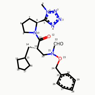 Cn1nnnc1[C@@H]1CCCN1C(=O)[C@@H](CC1CCCC1)CN(C=O)OCc1ccccc1